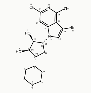 O[C@@H]1[C@H](O)[C@@H](C2CCNCC2)C[C@H]1n1cc(Br)c2c(Cl)nc(Cl)nc21